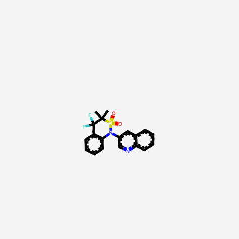 CC1(C)C(F)(F)c2ccccc2N(c2cnc3ccccc3c2)S1(=O)=O